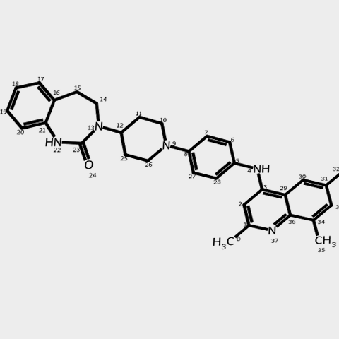 Cc1cc(Nc2ccc(N3CCC(N4CCc5ccccc5NC4=O)CC3)cc2)c2cc(Br)cc(C)c2n1